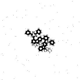 CC1(C)c2ccccc2-c2cc3c4c(-c5ccc6c(c5)C(C)(C)c5cccc(-c7nc(-c8ccccc8)nc(-c8ccccc8)n7)c5-6)cccc4n(-c4ccccc4)c3cc21